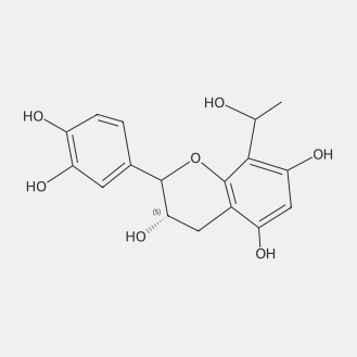 CC(O)c1c(O)cc(O)c2c1OC(c1ccc(O)c(O)c1)[C@@H](O)C2